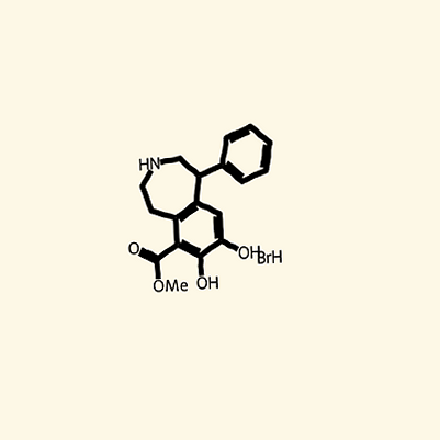 Br.COC(=O)c1c(O)c(O)cc2c1CCNCC2c1ccccc1